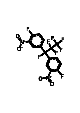 O=[N+]([O-])c1cc(C(F)(c2ccc(F)c([N+](=O)[O-])c2)C(F)(F)C(F)(F)F)ccc1F